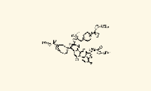 CC(CN1CCN(C(=O)OC(C)(C)C)CC1)Oc1nc(N2CCC3CC(C2)N(C(=O)OC(C)(C)C)C3)c2cc(Cl)c(-c3ccc(F)c4sc(NC(=O)OC(C)(C)C)nc34)c(F)c2n1